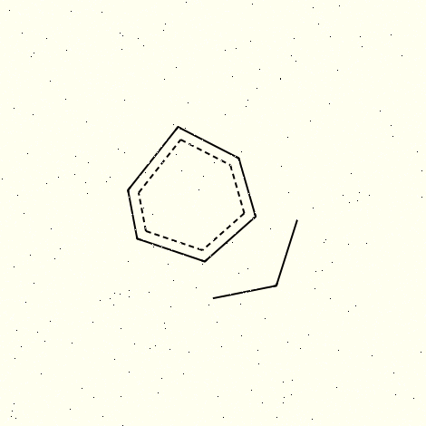 CCC.c1ccccc1